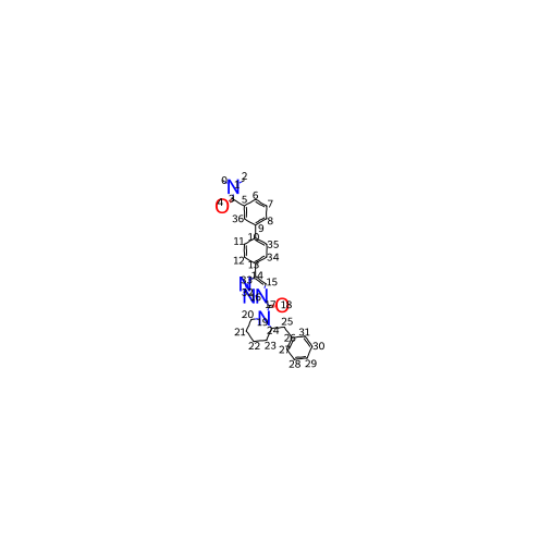 CN(C)C(=O)c1cccc(-c2ccc(-c3cn(C(=O)N4CCCCC4Cc4ccccc4)nn3)cc2)c1